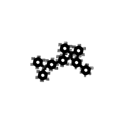 c1ccc(-c2ccc3c(c2)-c2ccccc2B2c4ccccc4-c4cc(-c5ccc(N(c6ccccc6)c6ccccc6)cc5)ccc4N23)cc1